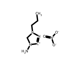 CCCN1CN(N)[C+]=N1.O=[N+]([O-])[O-]